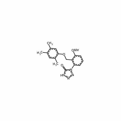 COc1cccc(-n2nn[nH]c2=O)c1COc1cc(C)c(C)cc1C